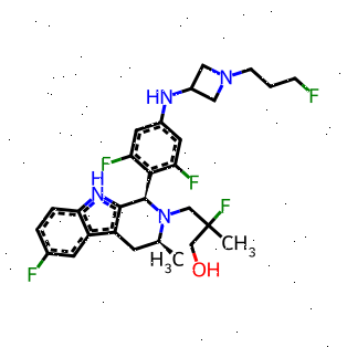 C[C@H]1Cc2c([nH]c3ccc(F)cc23)[C@@H](c2c(F)cc(NC3CN(CCCF)C3)cc2F)N1CC(C)(F)CO